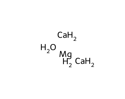 O.[CaH2].[CaH2].[MgH2]